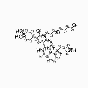 CC(Nc1ncnc2c1cc(C1CCS(O)(O)CC1)c(=O)n2CCCOCCCC=O)c1cccc(C(F)(F)CC2CNC2)c1